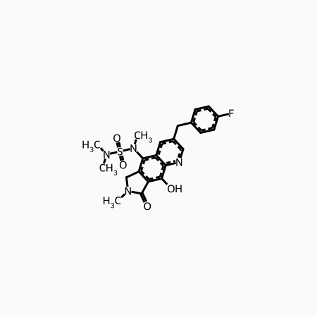 CN1Cc2c(c(O)c3ncc(Cc4ccc(F)cc4)cc3c2N(C)S(=O)(=O)N(C)C)C1=O